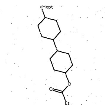 CCCCCCCC1CCC(C2CCC(OC(=O)CC)CC2)CC1